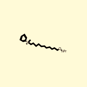 CCCOCCCCCCCCCCC[Si](C)(C)c1ccccc1